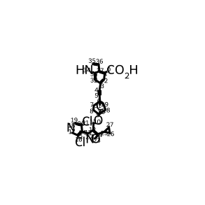 O=C(O)c1cc(C#CC23CCC(OCc4c(-c5c(Cl)cncc5Cl)noc4C4CC4)(CC2)CC3)cc2[nH]ccc12